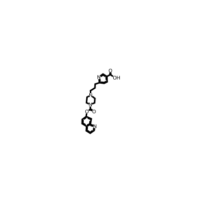 O=C(O)c1ccc(CCCN2CCN(C(=O)Oc3ccc4cccnc4c3)CC2)nc1